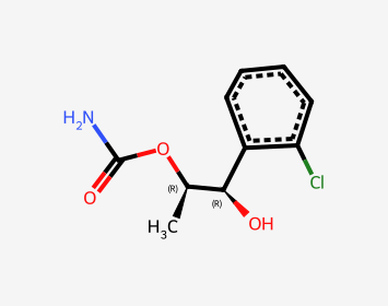 C[C@@H](OC(N)=O)[C@H](O)c1ccccc1Cl